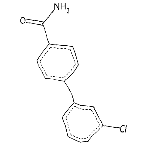 NC(=O)c1ccc(-c2cccc(Cl)c2)cc1